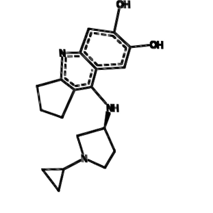 Oc1cc2nc3c(c(N[C@H]4CCN(C5CC5)C4)c2cc1O)CCC3